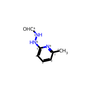 Cc1cccc(NNC=O)n1